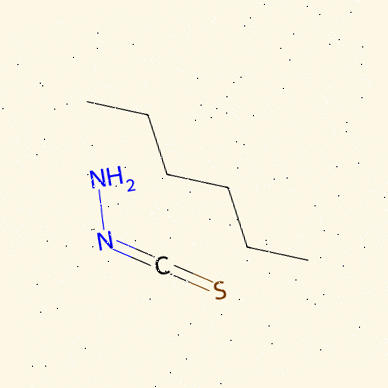 CCCCCC.NN=C=S